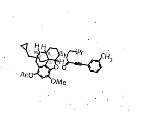 COc1cc(OC(C)=O)c2c3c1O[C@H]1[C@@H](N(CC(C)C)C(=O)C#Cc4cccc(C)c4)CC[C@H]4[C@@H](C2)N(CC2CC2)CC[C@@]341